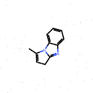 CC1=CCc2nc3ccccc3n21